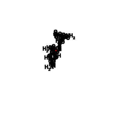 CC(C)[C@H](NC(=O)CCN1C(=O)C=CC1=O)C(=O)N[C@@H](CCCNC(N)=O)C(=O)Nc1ccc(COC(=O)N(C)CCOC(=O)O[C@@H]2[C@@H]3O[P@](=O)(S)OC[C@H]4O[C@@H](n5cnc6c(N)ncnc65)[C@H](F)[C@@H]4O[P@@](=O)(S)OC[C@H]3O[C@H]2n2cnc3c(=O)[nH]c(N)nc32)cc1